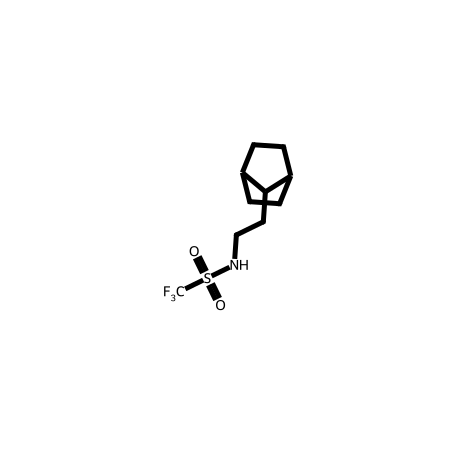 O=S(=O)(NCCC1C2CCC1CC2)C(F)(F)F